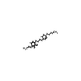 CCCCC[SiH]1CCC(CCCCc2ccc(OCC)c(F)c2F)CC1